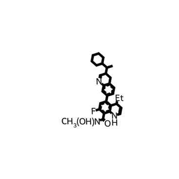 CCC1C=CNc2c(C(=O)N(C)O)c(F)cc(-c3ccc4c(c3)N=CC(C(C)C3CCCCC3)C4)c21